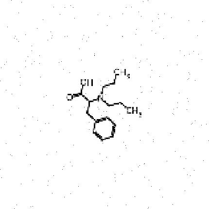 CCCN(CCC)C(Cc1ccccc1)C(=O)O